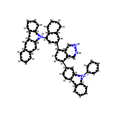 c1ccc(-n2c3ccccc3c3ccc(-c4ccc(-c5cc(-n6c7ccccc7c7cc8ccccc8cc76)c6ccccc6c5)c5cnncc45)cc32)cc1